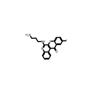 NCCCNc1nc2ccccc2c2c(=O)c3cc(F)ccc3sc12